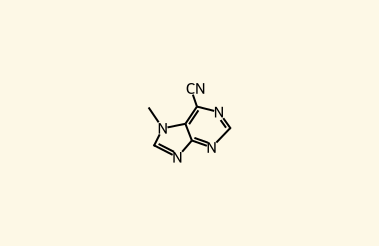 Cn1cnc2ncnc(C#N)c21